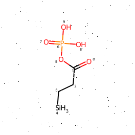 O=C(CC[SiH3])OP(=O)(O)O